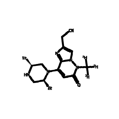 [2H]C([2H])([2H])n1c(=O)cc(N2C[C@@H](CC)NC[C@@H]2CC)c2nc(CC#N)cn21